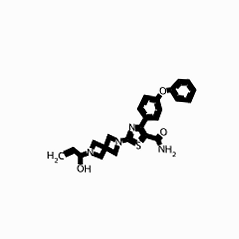 C=CC(O)N1CC2(CN(c3nc(-c4ccc(Oc5ccccc5)cc4)c(C(N)=O)s3)C2)C1